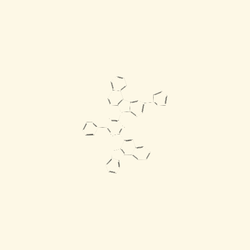 c1ccc(-c2ccc3c(c2)c2c4ccccc4ccc2n3-c2nc(-c3ccccc3)nc(-c3cc4ccccc4c4c3oc3ccccc34)n2)cc1